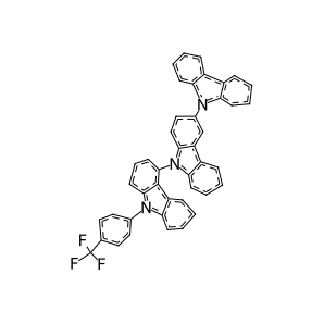 FC(F)(F)c1ccc(-n2c3ccccc3c3c(-n4c5ccccc5c5cc(-n6c7ccccc7c7ccccc76)ccc54)cccc32)cc1